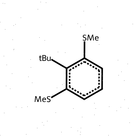 CSc1cccc(SC)c1C(C)(C)C